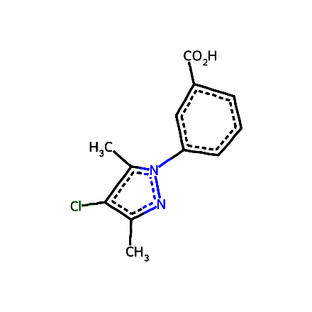 Cc1nn(-c2cccc(C(=O)O)c2)c(C)c1Cl